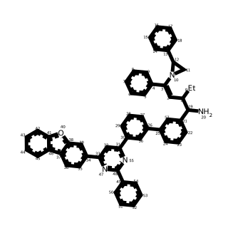 CCC(/C=C(/c1ccccc1)N1CC1c1ccccc1)C(N)c1cccc(-c2cccc(-c3cc(-c4ccc5c(c4)oc4ccccc45)nc(-c4ccccc4)n3)c2)c1